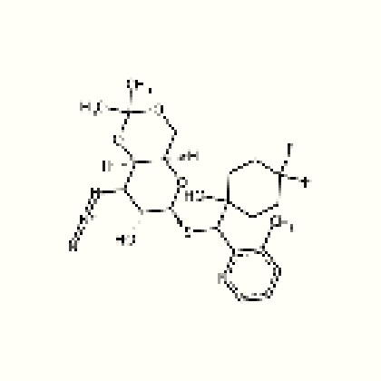 Cc1cccnc1C(S[C@@H]1O[C@@H]2COC(C)(C)O[C@@H]2[C@H](N=[N+]=[N-])[C@H]1O)C1(O)CCC(F)(F)CC1